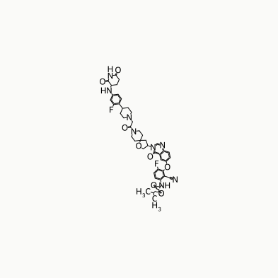 CC(C)S(=O)(=O)Nc1ccc(F)c(Oc2ccc3ncn([C@H]4COC5(CCN(C(=O)CN6CCC(c7ccc(NC8CCC(=O)NC8=O)cc7F)CC6)CC5)C4)c(=O)c3c2)c1C#N